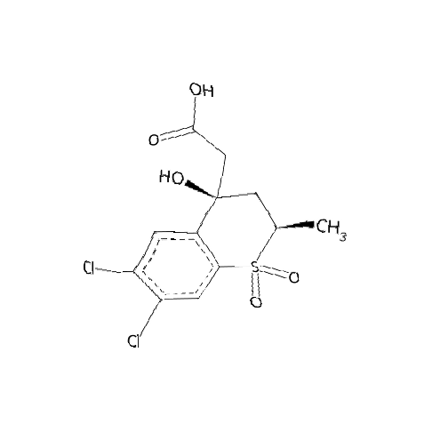 C[C@@H]1C[C@@](O)(CC(=O)O)c2cc(Cl)c(Cl)cc2S1(=O)=O